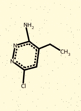 CCc1cc(Cl)nnc1N